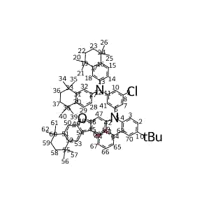 CC(C)(C)c1ccc(N(c2cc(Cl)cc(N(c3ccc4c(c3)C(C)(C)CCC4(C)C)c3ccc4c(c3)C(C)(C)CCC4(C)C)c2)c2ccc3c(c2)oc2cc4c(cc23)C(C)(C)CCC4(C)C)c(-c2ccccc2)c1